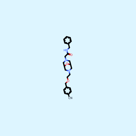 N#Cc1ccc(COCCN2CC3CN(CC(=O)NCc4ccccc4)CC(C2)O3)cc1